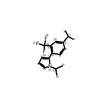 CC(C)c1ccc(-c2cccn2C(C)C)c(C(F)(F)F)c1